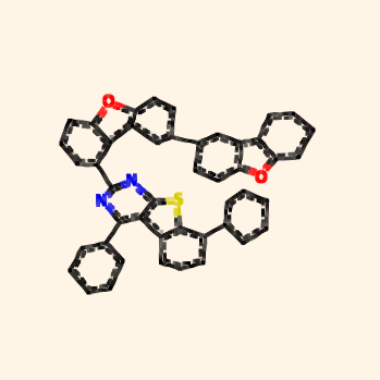 c1ccc(-c2cccc3c2sc2nc(-c4cccc5oc6ccc(-c7ccc8oc9ccccc9c8c7)cc6c45)nc(-c4ccccc4)c23)cc1